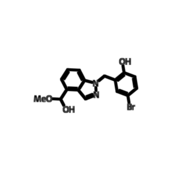 COC(O)c1cccc2c1cnn2Cc1cc(Br)ccc1O